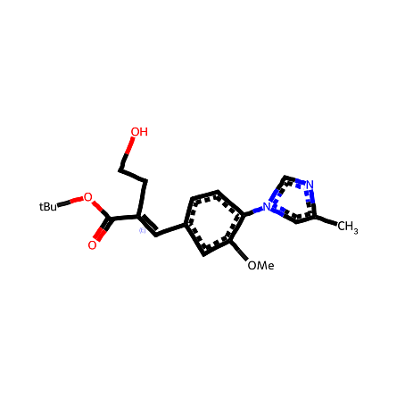 COc1cc(/C=C(\CCO)C(=O)OC(C)(C)C)ccc1-n1cnc(C)c1